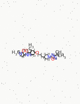 Cc1cc(OCCCC2CCN(c3nc(C(C)C)no3)CC2)ccc1C(=O)N[C@@H]1CCN(C)C1=O